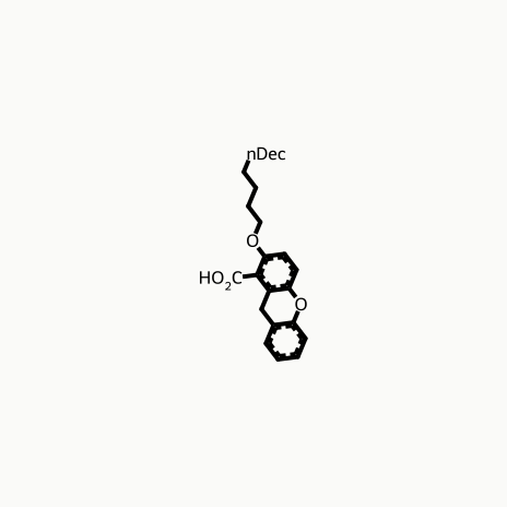 CCCCCCCCCCCCCCOc1ccc2c(c1C(=O)O)Cc1ccccc1O2